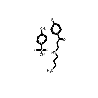 CCCCNCCC(=O)c1ccc(F)cc1.Cc1ccc(S(=O)(=O)O)cc1